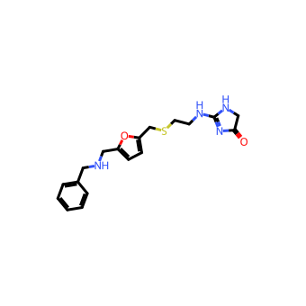 O=C1CNC(NCCSCc2ccc(CNCc3ccccc3)o2)=N1